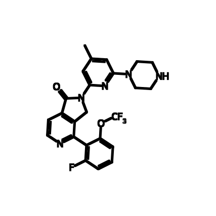 Cc1cc(N2CCNCC2)nc(N2Cc3c(ccnc3-c3c(F)cccc3OC(F)(F)F)C2=O)c1